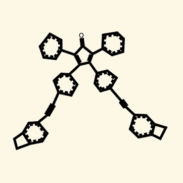 O=C1C(c2ccccc2)=C(c2ccc(C#Cc3ccc4c(c3)CC4)cc2)C(c2ccc(C#Cc3ccc4c(c3)CC4)cc2)=C1c1ccccc1